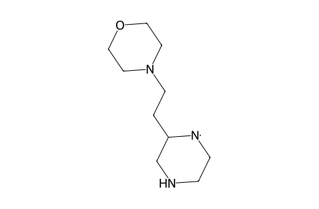 C1CNCC(CCN2CCOCC2)[N]1